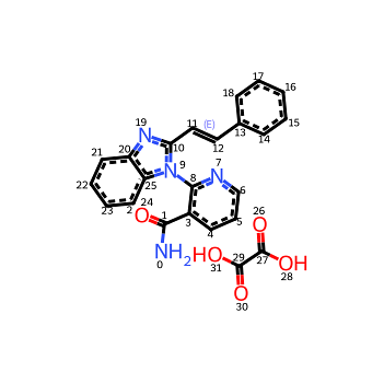 NC(=O)c1cccnc1-n1c(/C=C/c2ccccc2)nc2ccccc21.O=C(O)C(=O)O